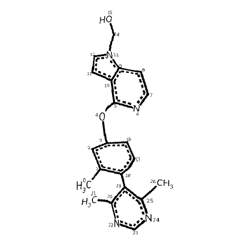 Cc1cc(Oc2nccc3c2ccn3CO)ccc1-c1c(C)ncnc1C